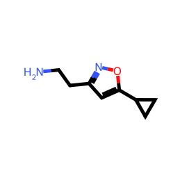 NCCc1cc(C2CC2)on1